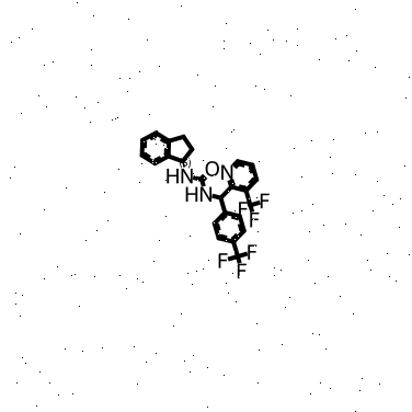 O=C(NC(c1ccc(C(F)(F)F)cc1)c1ncccc1C(F)(F)F)N[C@H]1CCc2ccccc21